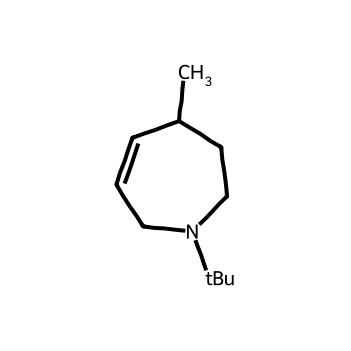 CC1C=CCN(C(C)(C)C)CC1